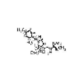 CCOC(C)(C)[C@@]1(CCN/C(=N/C)NC)CCN(C(C)(C)c2ccc(C)nc2)C1